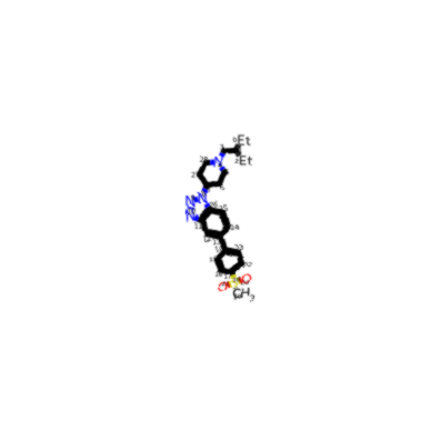 CCC(CC)CN1CCC(n2nnc3cc(-c4ccc(S(C)(=O)=O)cc4)ccc32)CC1